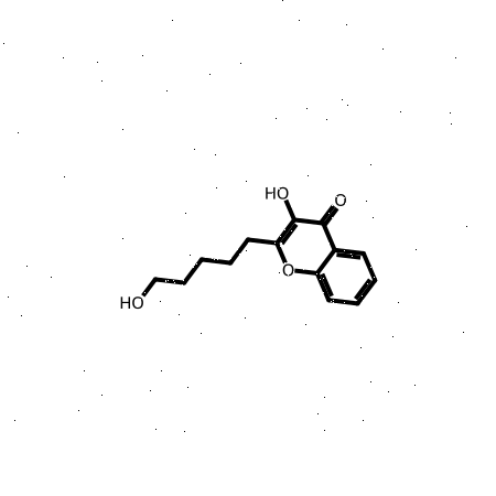 O=c1c(O)c(CCCCCO)oc2ccccc12